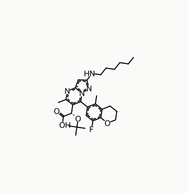 CCCCCCNc1cc2nc(C)c([C@H](OC(C)(C)C)C(=O)O)c(-c3cc(F)c4c(c3C)CCCO4)n2n1